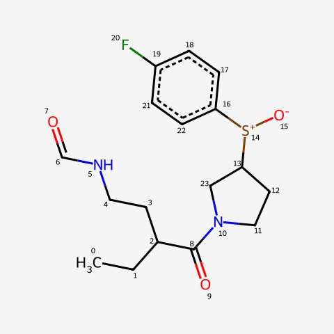 CCC(CCNC=O)C(=O)N1CCC([S+]([O-])c2ccc(F)cc2)C1